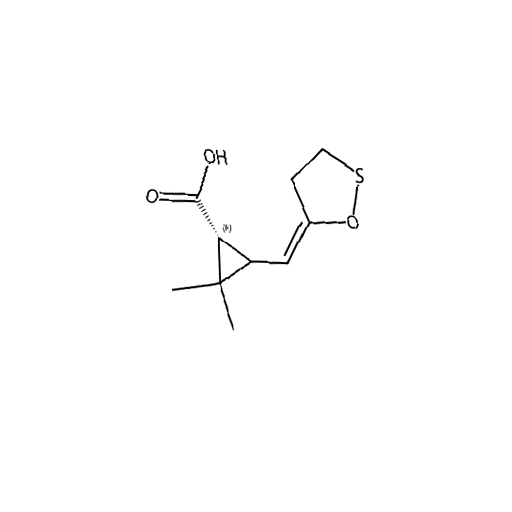 CC1(C)C(C=C2CCSO2)[C@H]1C(=O)O